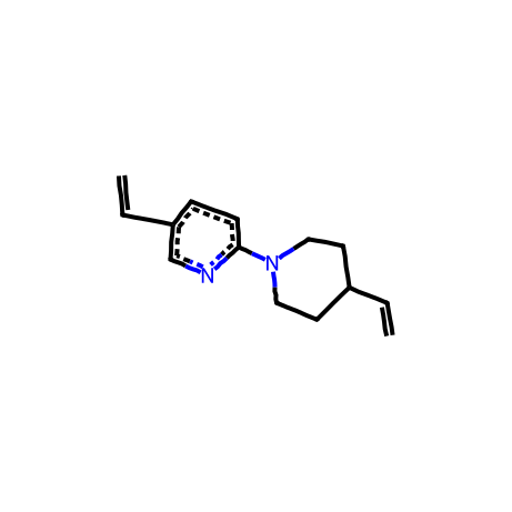 C=Cc1ccc(N2CCC(C=C)CC2)nc1